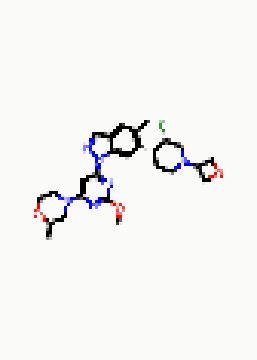 COc1nc(N2CCOC(C)C2)cc(-n2ncc3cc(C)c([C@H]4CCN(C5COC5)C[C@H]4F)cc32)n1